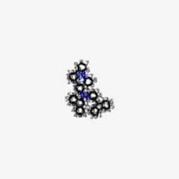 c1ccc(-n2c3ccccc3c3cccc(-c4ccc(N(c5cccc(C6c7ccccc7-c7ccccc76)c5)c5cc6ccccc6c6ccccc56)cc4)c32)cc1